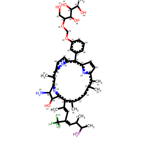 C/C(=C\C(=C/C(C)C(C)P)C(F)(F)F)c1c(C)ccc(C)c(C)c2nc(c(-c3cccc(OCOC(CO)C(O)C(O)[C@@H](C)O)c3)c3ccc([nH]3)c(C)c3nc1C(O)C3N)C=C2